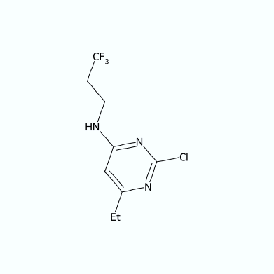 CCc1cc(NCCC(F)(F)F)nc(Cl)n1